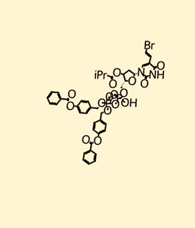 CC(C)C(=O)OC1C[C@H](n2cc(/C=C/Br)c(=O)[nH]c2=O)O[C@@H]1COP(=O)(O)OP(=O)(OCc1ccc(OC(=O)c2ccccc2)cc1)OCc1ccc(OC(=O)c2ccccc2)cc1